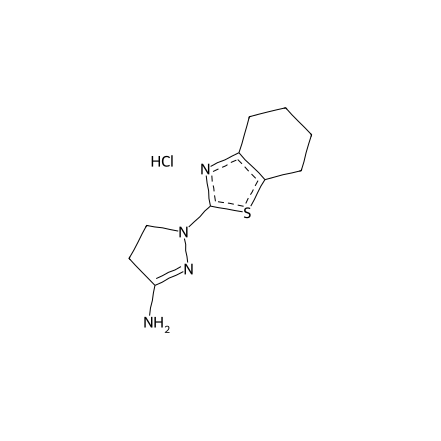 Cl.NC1=NN(c2nc3c(s2)CCCC3)CC1